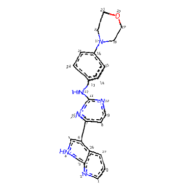 c1cnc2[nH]cc(-c3ccnc(Nc4ccc(N5CCOCC5)cc4)n3)c2c1